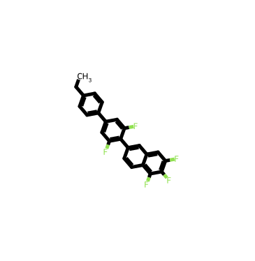 CCc1ccc(-c2cc(F)c(-c3ccc4c(F)c(F)c(F)cc4c3)c(F)c2)cc1